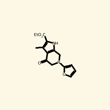 CCOC(=O)c1[nH]c2c(c1C)C(=O)CN(c1ccco1)C2